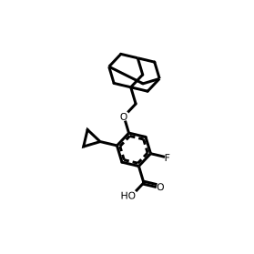 O=C(O)c1cc(C2CC2)c(OCC23CC4CC(CC(C4)C2)C3)cc1F